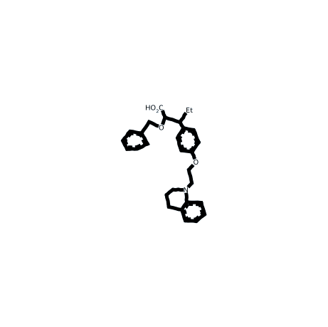 CCC(c1ccc(OCCN2CCCc3ccccc32)cc1)C(OCc1ccccc1)C(=O)O